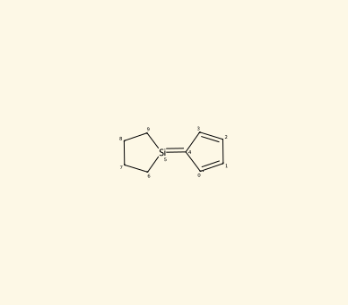 [C]1=CC=CC1=[Si]1CCCC1